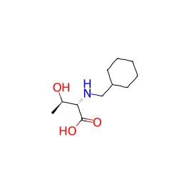 C[C@@H](O)[C@H](NCC1CCCCC1)C(=O)O